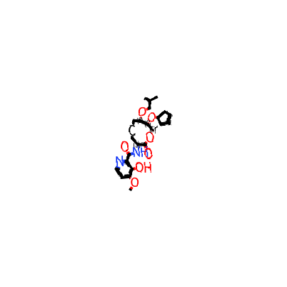 COc1ccnc(C(=O)N[C@H]2CCC[C@H](OCC(C)C)[C@@H](OC3CCCC3)[C@H](C)OC2=O)c1O